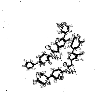 Cc1cc(-c2ncc(CC(=O)Nc3ccc(-c4cnccn4)cn3)cc2C)ccn1.Cc1cc(CC(=O)Nc2ccc(-c3ccccc3)nc2)cnc1-c1ccnnc1